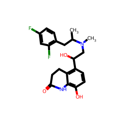 CC(Cc1ccc(F)cc1F)N(C)CC(O)c1ccc(O)c2c1CCC(=O)N2